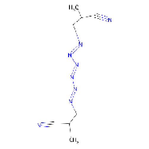 CC(C#N)CN=NN=NN=NCC(C)C#N